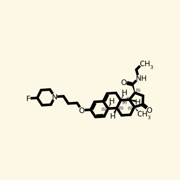 CCNC(=O)[C@H]1CC(=O)[C@@]2(C)CC[C@H]3[C@@H](CC=C4C=C(OCCCN5CCC(F)CC5)C=C[C@@H]43)[C@H]12